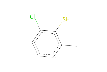 Cc1[c]ccc(Cl)c1S